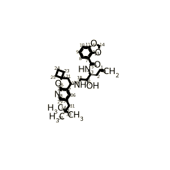 C=CC[C@H](NC(=O)c1cccc2c1OCO2)[C@H](O)CN[C@H]1CC2(CCC2)Oc2ncc(CC(C)(C)C)cc21